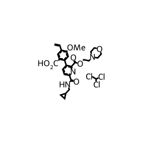 C=Cc1cc(C(=O)O)c(-c2ccc(C(=O)NCC3CC3)nc2C(=O)OCCN2CCOCC2)cc1OC.ClC(Cl)Cl